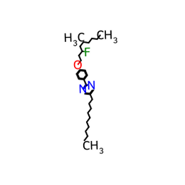 CCCCCCCCCCCc1cnc(-c2ccc(OCCC(F)CC(C)CCCC)cc2)nc1